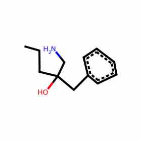 CCCC(O)(CN)Cc1ccccc1